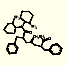 C=C(CC(Cc1ccccc1)C(N)=O)CC(Cc1ccccc1)C(=O)N(C1CCCCC1N)C1CCCCC1N